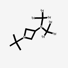 [2H]C([2H])([2H])N(C1CN(C(C)(C)C)C1)C([2H])([2H])[2H]